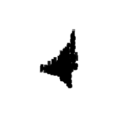 CC(C)(C)I.CCC(C)I.CCCCCCCCCCCCCCCCI.CCCCCCCCCCCCI.CCCCCCCCCCI.CCCCCCCCI.CCCCCCI.CCCCCI.CCCCI.CCCI.I